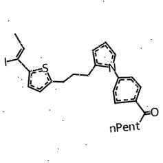 CC=C(I)c1ccc(CCCc2cccn2-c2ccc(C(=O)CCCCC)cc2)s1